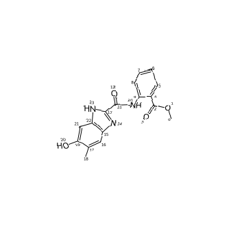 COC(=O)c1ccccc1NC(=O)c1nc2cc(C)c(O)cc2[nH]1